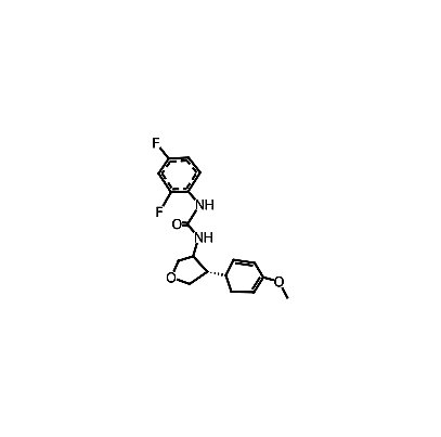 COC1=CCC([C@@H]2COCC2NC(=O)Nc2ccc(F)cc2F)C=C1